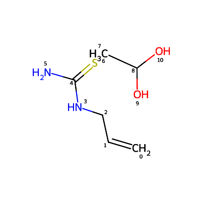 C=CCNC(N)=S.CC(O)O